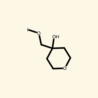 OC1(COI)CCOCC1